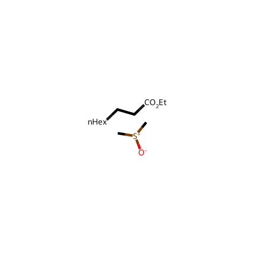 CCCCCCCCC(=O)OCC.C[S+](C)[O-]